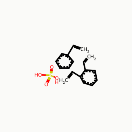 C=Cc1ccccc1.C=Cc1ccccc1C=C.O=S(=O)(O)O